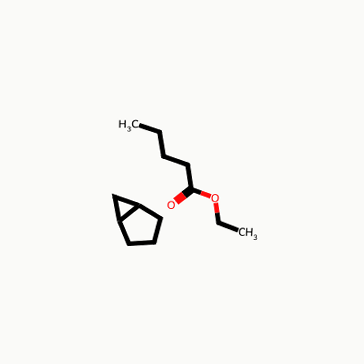 C1CC2CC2C1.CCCCC(=O)OCC